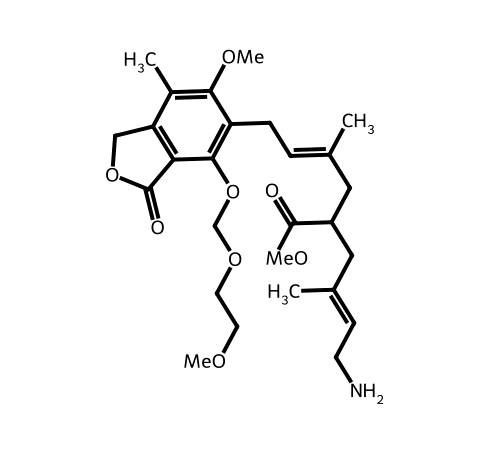 COCCOCOc1c(C/C=C(\C)CC(C/C(C)=C/CN)C(=O)OC)c(OC)c(C)c2c1C(=O)OC2